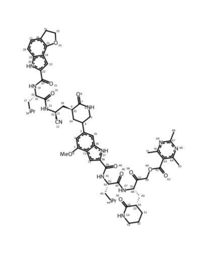 COc1cc(C2CNC(=O)[C@H](C[C@@H](C#N)NC(=O)[C@H](CC(C)C)NC(=O)c3cc4c5c(ccc4[nH]3)CCO5)C2)cc2[nH]c(C(=O)N[C@@H](CC(C)C)C(=O)N[C@@H](C[C@@H]3CCCNC3=O)C(=O)COC(=O)c3c(C)nc(C)nc3C)cc12